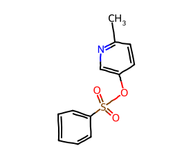 Cc1ccc(OS(=O)(=O)c2ccccc2)cn1